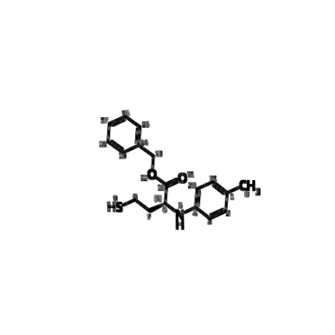 Cc1ccc(N[C@@H](CCS)C(=O)OCc2ccccc2)cc1